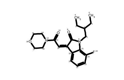 CCC(CC)CN1C(=O)C(=CC(=O)N2CCOCC2)c2cccc(F)c21